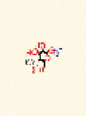 CN(C)OC1OC(CO)C(C(C)(C)C)C(O)C1O